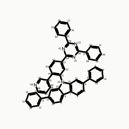 c1ccc(-c2ccc3c4ccc(-c5ccccc5)cc4n(-c4cc(-c5nc(-c6ccccc6)nc(-c6ccccc6)n5)ccc4-c4cccnc4)c3c2)cc1